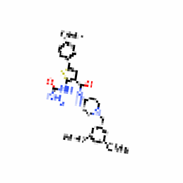 COc1ccc(-c2cc(C(=O)NC3CCN(Cc4cc(OC)cc(OC)c4)CC3)c(NC(N)=O)s2)cc1